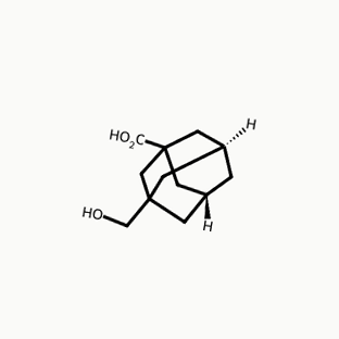 O=C(O)C12C[C@@H]3C[C@@H](CC(CO)(C3)C1)C2